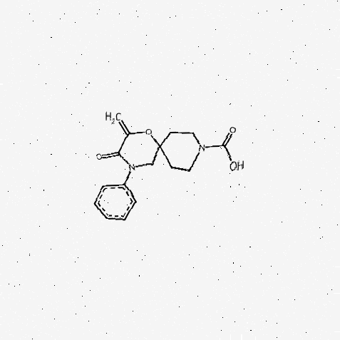 C=C1OC2(CCN(C(=O)O)CC2)CN(c2ccccc2)C1=O